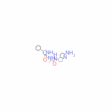 CC(NC(=O)[C@H]1C=C(c2ccccc2)CN1)C(=O)NC1CCc2nc(N)ccc21